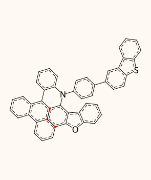 c1ccc(N(c2ccc(-c3ccc4sc5ccccc5c4c3)cc2)c2cccc3oc4ccccc4c23)c(-c2cc3ccccc3c3ccccc23)c1